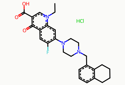 CCn1cc(C(=O)O)c(=O)c2cc(F)c(N3CCN(Cc4cccc5c4CCCC5)CC3)cc21.Cl